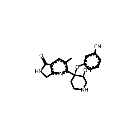 Cc1cc2c(nc1[C@@]1(Oc3cccc(C#N)c3)CCNC[C@@H]1O)CNC2=O